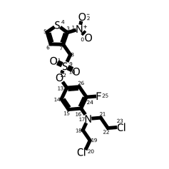 O=[N+]([O-])c1sccc1CS(=O)(=O)Oc1ccc(N(CCCl)CCCl)c(F)c1